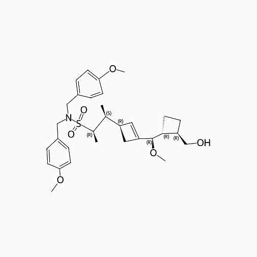 COc1ccc(CN(Cc2ccc(OC)cc2)S(=O)(=O)[C@H](C)[C@@H](C)[C@H]2C=C([C@H](OC)[C@@H]3CC[C@H]3CO)C2)cc1